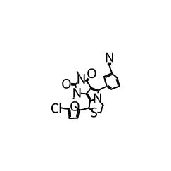 Cn1c(=O)c2c(-c3cccc(C#N)c3)n3c(c2n(C)c1=O)C(c1ccc(Cl)o1)SCC3